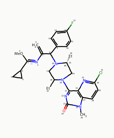 C=C(/N=C(\OC)C1CC1)C(c1ccc(F)cc1)N1CC(CC)N(c2nc(=O)n(C)c3ccc(Cl)nc23)C[C@H]1CC